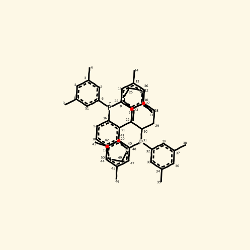 Cc1cc(C)cc(P(c2cc(C)cc(C)c2)c2ccc3c(c2C2=C4OCOC4=CCC2P(c2cc(C)cc(C)c2)c2cc(C)cc(C)c2)OCO3)c1